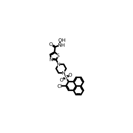 O=C(NO)c1cnc(N2CCN(S(=O)(=O)C3C(Cl)=Cc4cccc5cccc3c45)CC2)s1